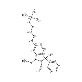 CCCN1C(=O)c2ccccc2C1(Cl)c1ccc(OCOCC[Si](C)(C)C)cc1